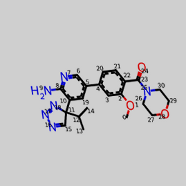 COc1cc(-c2cnc(N)c(C3(C(C)C)C=NN=N3)c2)ccc1C(=O)N1CCOCC1